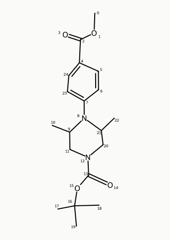 COC(=O)c1ccc(N2C(C)CN(C(=O)OC(C)(C)C)CC2C)cc1